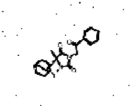 CN1C(=O)N(CC(=O)c2ccccc2)C(=O)C1(C)C1CC2=CC[C@@H]1CC2